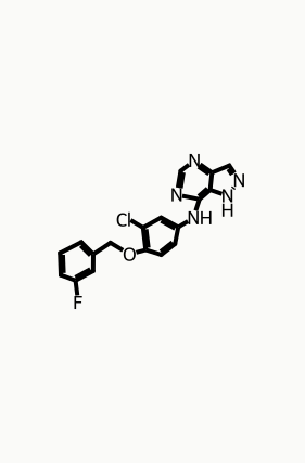 Fc1cccc(COc2ccc(Nc3ncnc4cn[nH]c34)cc2Cl)c1